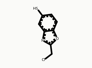 Sc1ccc2oc(CCl)nc2c1